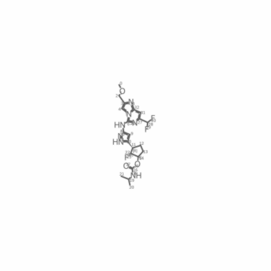 COCc1cn2c(Nc3cc([C@H]4CC[C@@H](OC(=O)NC(C)C)[C@@H]4F)[nH]n3)nc(C(F)F)cc2n1